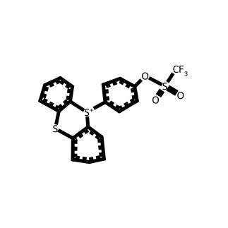 O=S(=O)(Oc1ccc([S+]2c3ccccc3Sc3ccccc32)cc1)C(F)(F)F